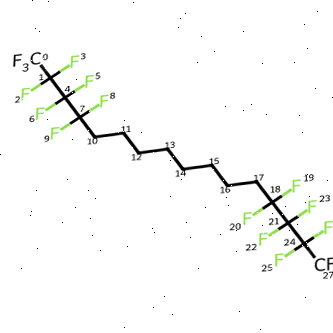 FC(F)(F)C(F)(F)C(F)(F)C(F)(F)CCCCCCCCC(F)(F)C(F)(F)C(F)(F)C(F)(F)F